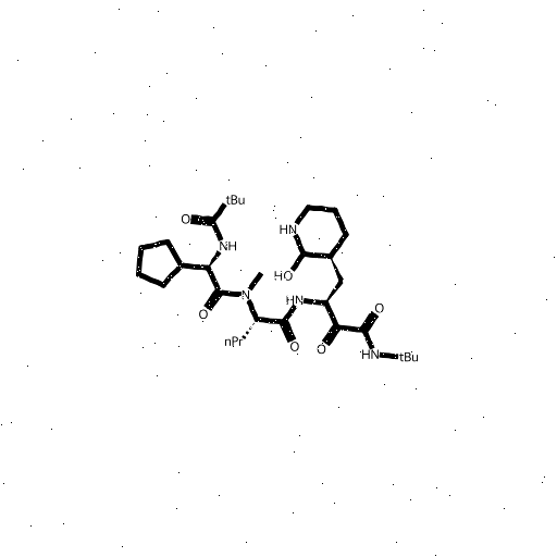 CCC[C@@H](C(=O)N[C@@H](C[C@@H]1CCCNC1O)C(=O)C(=O)NC(C)(C)C)N(C)C(=O)[C@H](NC(=O)C(C)(C)C)C1CCCC1